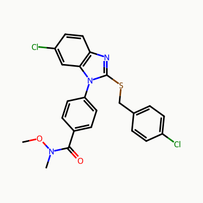 CON(C)C(=O)c1ccc(-n2c(SCc3ccc(Cl)cc3)nc3ccc(Cl)cc32)cc1